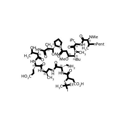 CCCCCC(C)[C@H](NC)C(=O)N[C@H](C(=O)N(C)[C@@H]([C@@H](C)CC)[C@@H](CC(=O)N1CCC[C@H]1C(OC)[C@@H](C)C(=O)N[C@H](C(=O)N[C@@H](CCC(=O)O)C(=O)N[C@H](C)CNC(=O)[C@H](CN)NC(=O)C(CC(=O)O)SC(C)(I)CC)C(C)O)OC)C(C)C